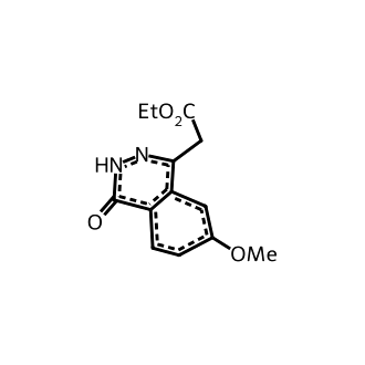 CCOC(=O)Cc1n[nH]c(=O)c2ccc(OC)cc12